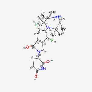 [2H]C1([2H])NC([2H])([2H])C([2H])([2H])N(c2c(F)cc3c(c2F)CN(C2CCC(=O)NC2=O)C3=O)C1([2H])[2H]